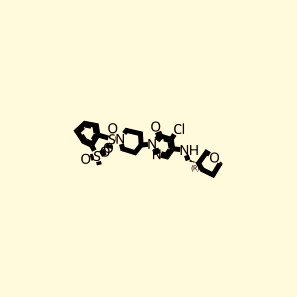 CS(=O)(=O)c1ccccc1S(=O)(=O)N1CCC(n2ncc(NC[C@H]3CCCOC3)c(Cl)c2=O)CC1